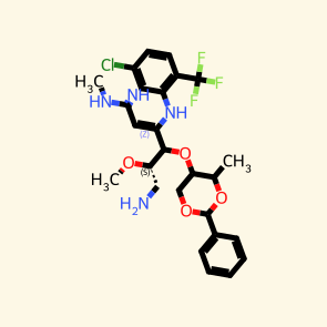 CNC(=N)/C=C(\Nc1cc(Cl)ccc1C(F)(F)F)C(OC1COC(c2ccccc2)OC1C)[C@H](CN)OC